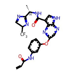 C=CC(=O)Nc1cccc(Oc2cnc3[nH]cc(C(=O)N[C@@H](C)C4=NC(C(F)(F)F)C=N4)c3n2)c1